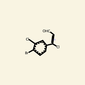 O=C/C=C(/Cl)c1ccc(Br)c(Cl)c1